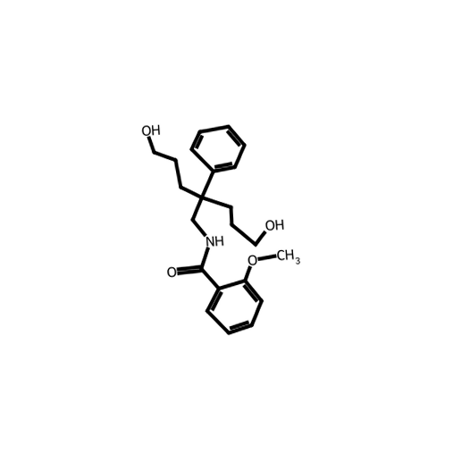 COc1ccccc1C(=O)NCC(CCCO)(CCCO)c1ccccc1